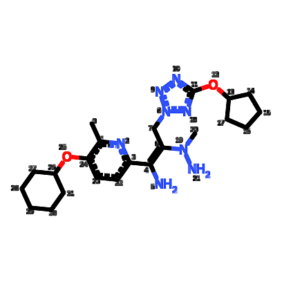 Cc1nc(/C(N)=C(\Cn2nnc(OC3CCCC3)n2)N(C)N)ccc1OC1CCCCC1